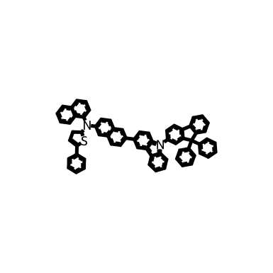 C1=C(c2ccccc2)SC(N(c2ccc3cc(-c4ccc5c(c4)c4ccccc4n5-c4ccc5c(c4)C(c4ccccc4)(c4ccccc4)c4ccccc4-5)ccc3c2)c2cccc3ccccc23)C1